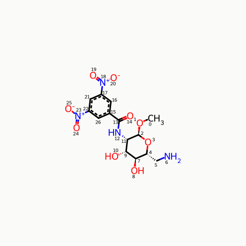 CO[C@H]1O[C@H](CN)[C@@H](O)[C@H](O)[C@@H]1NC(=O)c1cc([N+](=O)[O-])cc([N+](=O)[O-])c1